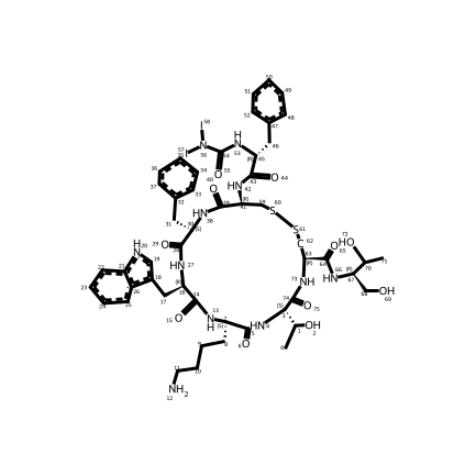 CC(O)[C@@H]1NC(=O)[C@H](CCCCN)NC(=O)[C@@H](Cc2c[nH]c3ccccc23)NC(=O)[C@H](Cc2ccccc2)NC(=O)[C@@H](NC(=O)[C@@H](Cc2ccccc2)NC(=O)N(I)I)CSSC[C@@H](C(=O)N[C@H](CO)C(C)O)NC1=O